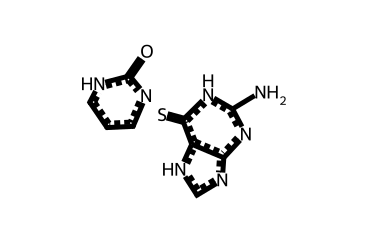 Nc1nc2nc[nH]c2c(=S)[nH]1.O=c1nccc[nH]1